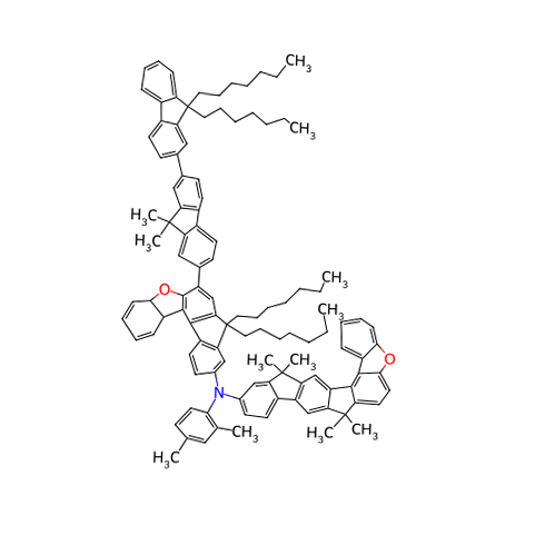 CCCCCCCC1(CCCCCCC)c2ccccc2-c2ccc(-c3ccc4c(c3)C(C)(C)c3cc(-c5cc6c(c7c5OC5C=CC=CC75)-c5ccc(N(c7ccc8c(c7)C(C)(C)c7cc9c(cc7-8)C(C)(C)c7ccc8oc%10ccccc%10c8c7-9)c7ccc(C)cc7C)cc5C6(CCCCCCC)CCCCCCC)ccc3-4)cc21